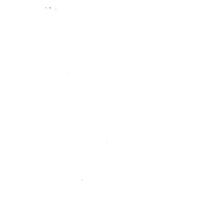 COc1ccc2c(C(=O)c3ccc(O)cc3)c(-c3ccc(OCCN4CCCCC4)cc3)[s+]([O-])c2c1